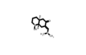 CCCN1CCC[C@H]2CC(=O)C(=CN(C)C)C[C@@H]21